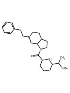 CNC(C)C1CCCC(C(=O)N2CCC3CCN(CCc4ccccc4)CC32)N1